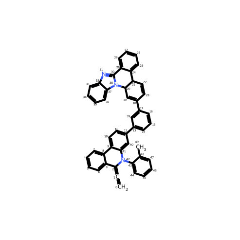 C=C=C1c2ccccc2-c2ccc(-c3cccc(C4=CC5C(C=C4)c4ccccc4-c4nc6ccccc6n45)c3)cc2N1c1ccccc1C